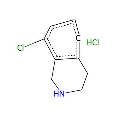 Cl.Clc1cccc2c1CNCC2